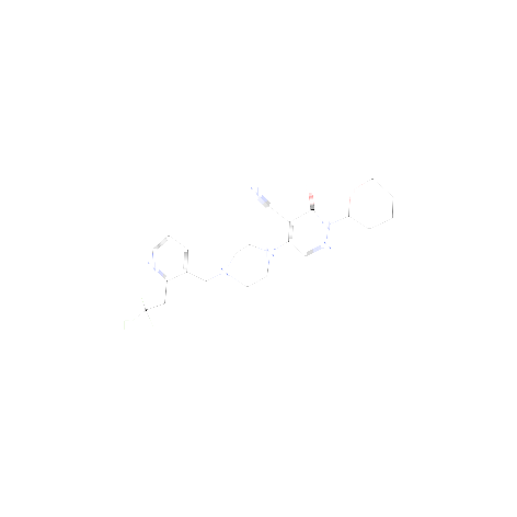 C[C@@H]1CN(Cc2cccnc2CC(F)(F)F)CCN1c1cnn(C2CCCCO2)c(=O)c1C#N